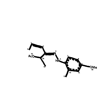 C/C=C\C(=N\Nc1ccc(OC)cc1C)C(C)OC(C)=O